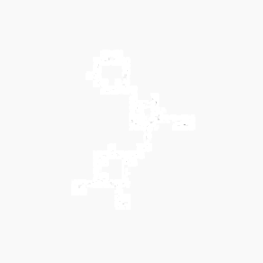 CC(C)(C)n1nc(-c2ccccc2)nc1Cc1ccc(O)c(O)c1